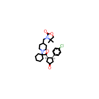 CC1(C)COC(=O)N1CC1CCN(C2(C(=O)[C@@H]3CC(=O)C[C@@H]3c3ccc(Cl)cc3)CCCCC2)CC1